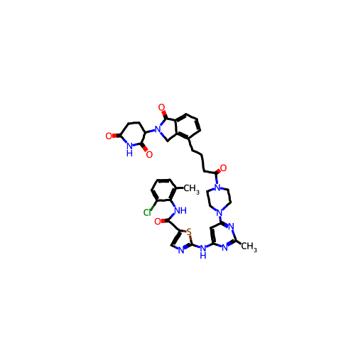 Cc1nc(Nc2ncc(C(=O)Nc3c(C)cccc3Cl)s2)cc(N2CCN(C(=O)CCCc3cccc4c3CN(C3CCC(=O)NC3=O)C4=O)CC2)n1